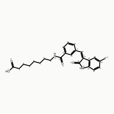 O=C(O)CCCCCCCNC(=O)c1cccc(/C=C2\C(=O)Nc3ccc(F)cc32)c1